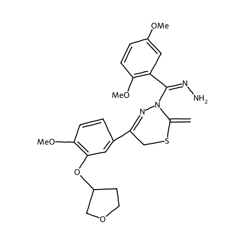 C=C1SCC(c2ccc(OC)c(OC3CCOC3)c2)=NN1/C(=N\N)c1cc(OC)ccc1OC